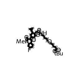 CNC(=O)c1c(-c2ccc(F)cc2)oc2cc(CS(=O)(=O)NCCCCCOCCCCC(=O)OC(C)(C)C)c(C3CC3)cc12